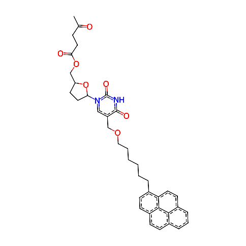 CC(=O)CCC(=O)OCC1CCC(n2cc(COCCCCCCc3ccc4ccc5cccc6ccc3c4c56)c(=O)[nH]c2=O)O1